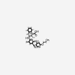 COCCOc1cc(Nc2nc(N[C@@H](Cc3ccccc3)[C@H](C)NC(=O)O)c(F)cc2C#N)ccn1